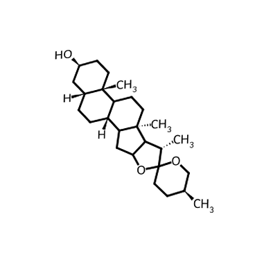 C[C@H]1CCC2(OC1)OC1CC3[C@@H]4CC[C@@H]5C[C@@H](O)CC[C@]5(C)C4CC[C@@]3(C)C1[C@@H]2C